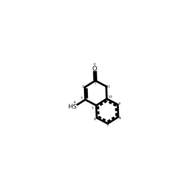 O=C1C=C(S)c2ccccc2C1